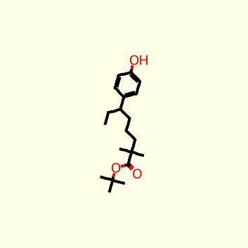 CCC(CCCC(C)(C)C(=O)OC(C)(C)C)c1ccc(O)cc1